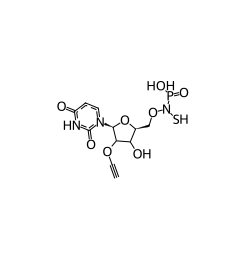 C#COC1C(O)[C@H](CON(S)[PH](=O)O)O[C@@H]1n1ccc(=O)[nH]c1=O